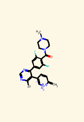 C=C(N)/C=C\C(=C/N)c1c(CC)ncnc1-c1cc(F)c(C(=O)N2CCN(C)CC2)c(F)c1